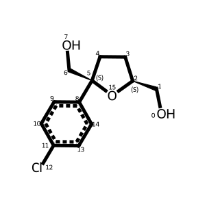 OC[C@@H]1CC[C@@](CO)(c2ccc(Cl)cc2)O1